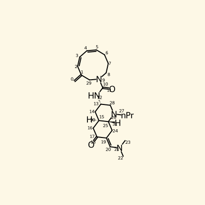 C=C1/C=C\C=C/CCCN(C(=O)N[C@H]2C[C@@H]3CC(=O)C(=CN(C)C)C[C@H]3N(CCC)C2)C1